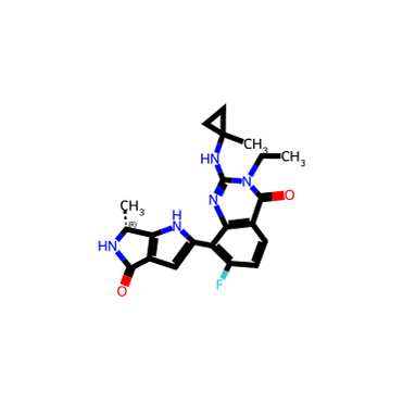 CCn1c(NC2(C)CC2)nc2c(-c3cc4c([nH]3)[C@@H](C)NC4=O)c(F)ccc2c1=O